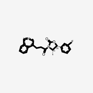 C[C@H]1[C@@H](c2cccc(F)c2)OC(=O)N1C(=O)CCc1cncc2ccccc12